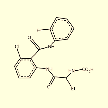 CCC(NC(=O)O)C(=O)Nc1cccc(Cl)c1C(=O)Nc1ccccc1F